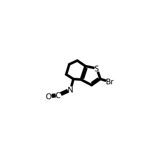 O=C=NC1CCCc2sc(Br)cc21